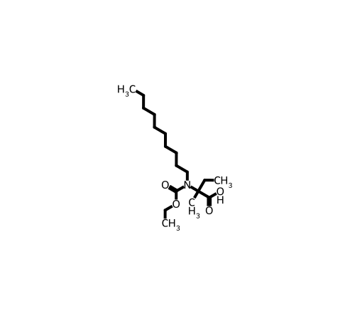 CCCCCCCCCCN(C(=O)OCC)C(C)(CC)C(=O)O